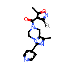 CCc1noc(C)c1C(=O)N1CCn2c(-c3ccncc3)nc(C)c2C1